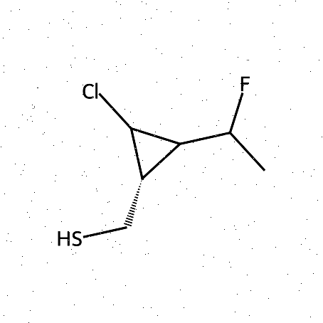 CC(F)C1C(Cl)[C@H]1CS